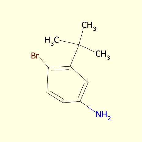 CC(C)(C)c1cc(N)ccc1Br